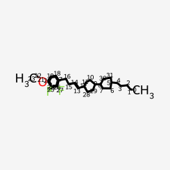 CCCCCC1CCC(C2CCC(C=CCCc3ccc(OCC)c(F)c3F)CC2)CC1